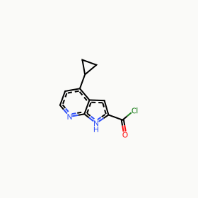 O=C(Cl)c1cc2c(C3CC3)ccnc2[nH]1